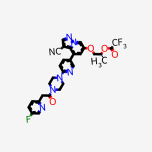 C[C@H](COc1cc(-c2ccc(N3CCN(C(=O)Cc4ccc(F)cn4)CC3)nc2)c2c(C#N)cnn2c1)OC(=O)C(F)(F)F